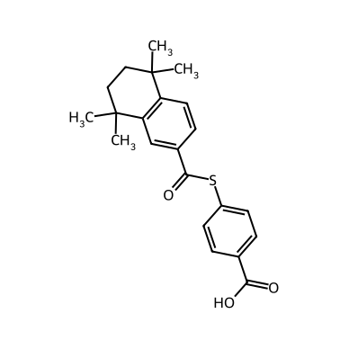 CC1(C)CCC(C)(C)c2cc(C(=O)Sc3ccc(C(=O)O)cc3)ccc21